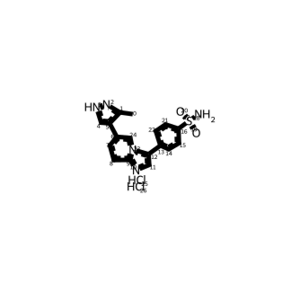 Cc1n[nH]cc1-c1ccc2ncc(-c3ccc(S(N)(=O)=O)cc3)n2c1.Cl.Cl